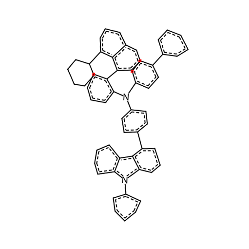 c1ccc(-c2ccc(N(c3ccc(-c4cccc5c4c4ccccc4n5-c4ccccc4)cc3)c3ccccc3-c3cccc4cccc(C5CCCCC5)c34)cc2)cc1